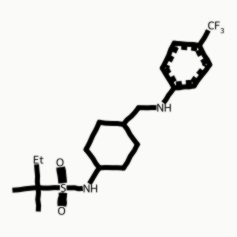 CCC(C)(C)S(=O)(=O)NC1CCC(CNc2ccc(C(F)(F)F)cc2)CC1